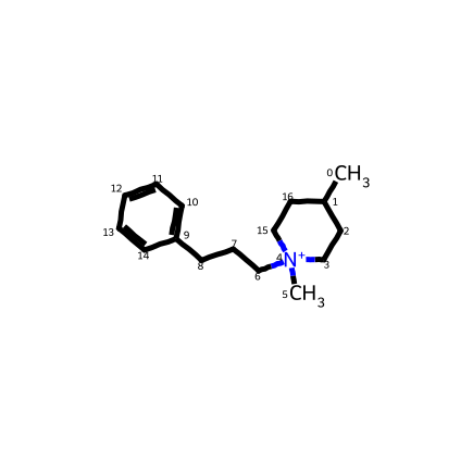 CC1CC[N+](C)(CCCc2ccccc2)CC1